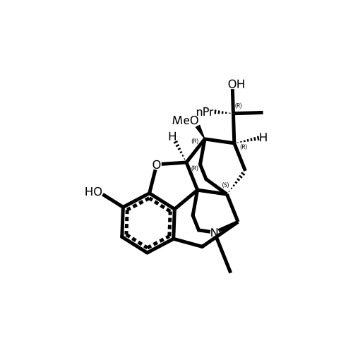 CCC[C@@](C)(O)[C@H]1C[C@@]23CC[C@]1(OC)[C@@H]1Oc4c(O)ccc5c4C12CCN(C)C3C5